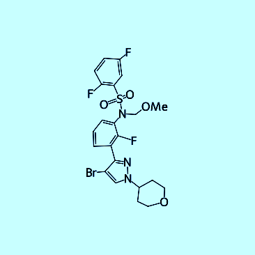 COCN(c1cccc(-c2nn(C3CCOCC3)cc2Br)c1F)S(=O)(=O)c1cc(F)ccc1F